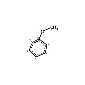 COc1cc[c]cn1